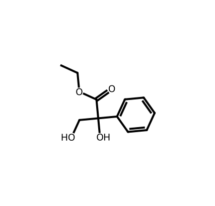 CCOC(=O)C(O)(CO)c1ccccc1